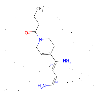 N/C=C\C=C(/N)C1=CCN(C(=O)CCC(F)(F)F)CC1